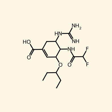 CCC(CC)OC1C=C(C(=O)O)CC(NC(=N)N)C1NC(=O)C(F)F